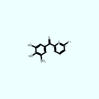 O=C(c1cc(O)c(O)c([N+](=O)[O-])c1)c1cccc(F)n1